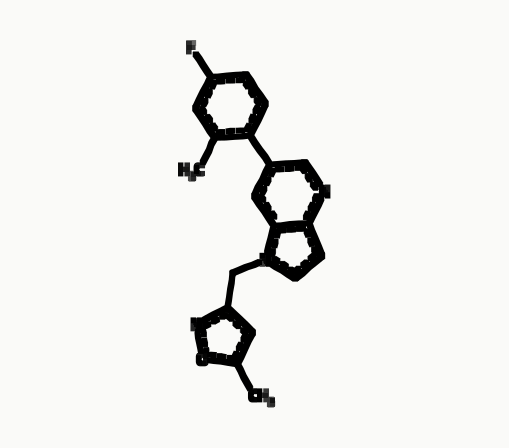 Cc1cc(Cn2ccc3ncc(-c4ccc(F)cc4C)cc32)no1